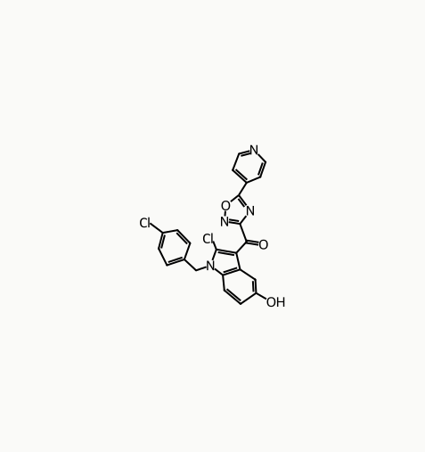 O=C(c1noc(-c2ccncc2)n1)c1c(Cl)n(Cc2ccc(Cl)cc2)c2ccc(O)cc12